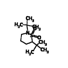 CC(C)(C)C1CCCN(C(C)(C)C)S1(=O)=O